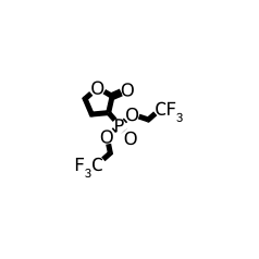 O=C1OCCC1P(=O)(OCC(F)(F)F)OCC(F)(F)F